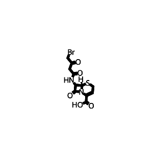 O=C(CBr)CC(=O)NC1C(=O)N2C(C(=O)O)=CCS[C@@H]12